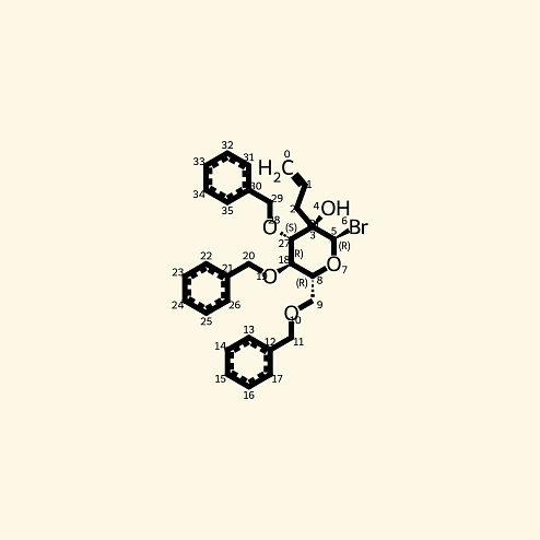 C=CC[C@]1(O)[C@@H](Br)O[C@H](COCc2ccccc2)[C@@H](OCc2ccccc2)[C@@H]1OCc1ccccc1